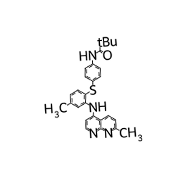 Cc1ccc(Sc2ccc(NC(=O)C(C)(C)C)cc2)c(Nc2ccnc3nc(C)ccc23)c1